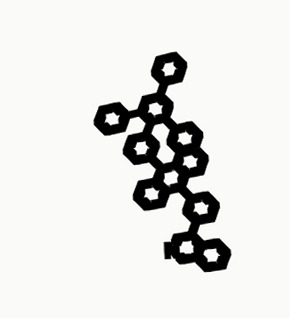 c1ccc(-c2cc(-c3ccccc3)c(-c3cccc(-c4c5ccccc5c(-c5cccc(-c6cncc7ccccc67)c5)c5ccccc45)c3)c(-c3ccccc3)c2)cc1